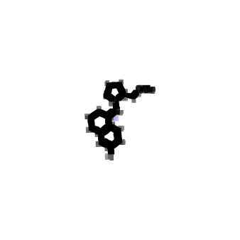 COC[C@@H]1CCCN1/N=C1\CCCc2cc(I)ccc21